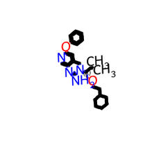 CC(C)[C@H](COCCC1CCCCC1)N1Cc2cc(Oc3ccccc3)ncc2N=C1N